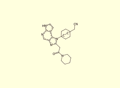 N#CCC12CCC(n3c(CC(=O)N4CCCCC4)nc4cnc5[nH]ccc5c43)(CC1)CC2